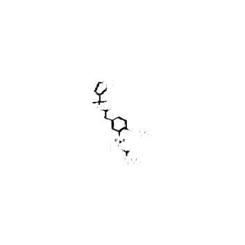 CNC(=O)NS(=O)(=O)c1cc(CC(=O)NC(C)(C)c2cc[nH]c2)ccc1OC